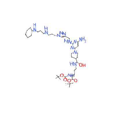 CC(C)(C)OC(=O)N[C@@H](CCCNC(O)C1CCN(c2cc(N)nc(NCc3cn(CCCNCCCNC4CCCCC4)nn3)n2)CC1)C(=O)OC(C)(C)C